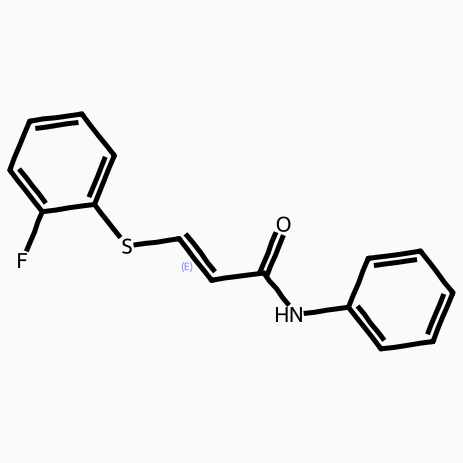 O=C(/C=C/Sc1ccccc1F)Nc1ccccc1